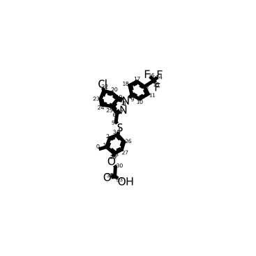 Cc1cc(SCc2nn(-c3ccc(C(F)(F)F)cc3)c3cc(Cl)ccc23)ccc1OCC(=O)O